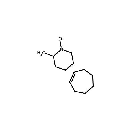 C1=CCCCCC1.CCN1CCCCC1C